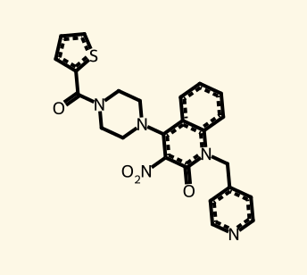 O=C(c1cccs1)N1CCN(c2c([N+](=O)[O-])c(=O)n(Cc3ccncc3)c3ccccc23)CC1